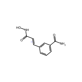 NC(=O)c1cccc(/C=C/C(=O)NO)c1